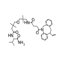 C=CC1Cc2ccccc2CN(C(=O)CCC(=O)NCC(C)(C)COCC(C)(C)CC(=O)N[C@H](C(N)=O)C(C)C)c2ccccc21